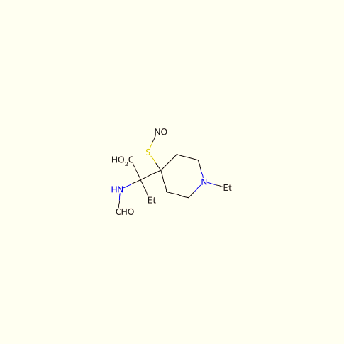 CCN1CCC(SN=O)(C(CC)(NC=O)C(=O)O)CC1